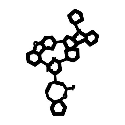 FC1/C=C(c2cc(-c3ccccc3)nc(-c3cccc4oc5ccc(-c6ccc7c8ccccc8n(-c8ccccc8)c7c6)cc5c34)n2)\C=C/Cc2ccccc2O1